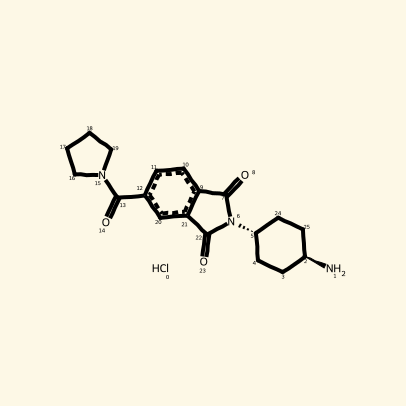 Cl.N[C@H]1CC[C@H](N2C(=O)c3ccc(C(=O)N4CCCC4)cc3C2=O)CC1